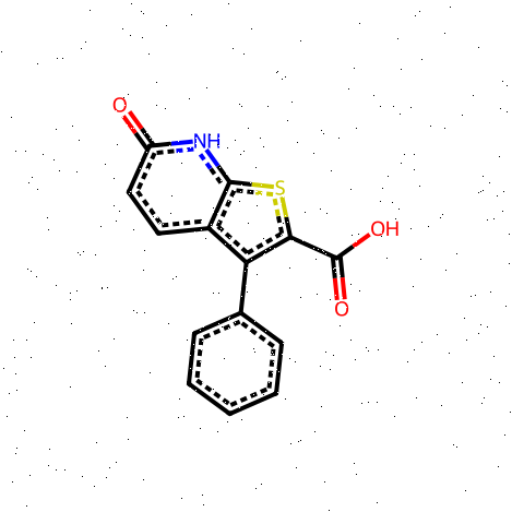 O=C(O)c1sc2[nH]c(=O)ccc2c1-c1ccccc1